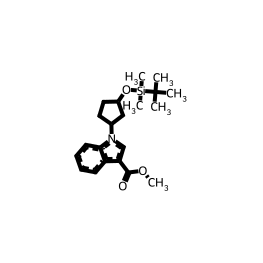 COC(=O)c1cn(C2CCC(O[Si](C)(C)C(C)(C)C)C2)c2ccccc12